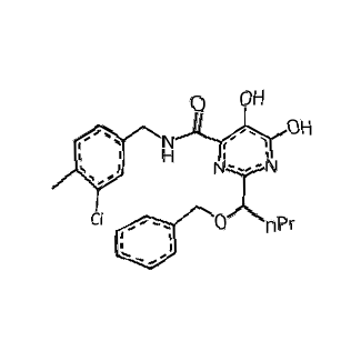 CCCC(OCc1ccccc1)c1nc(O)c(O)c(C(=O)NCc2ccc(C)c(Cl)c2)n1